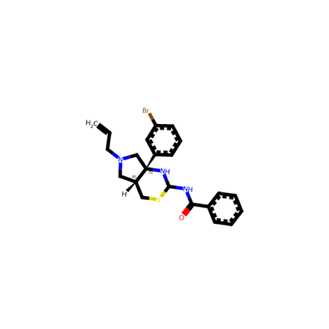 C=CCN1C[C@H]2CSC(NC(=O)c3ccccc3)N[C@@]2(c2cccc(Br)c2)C1